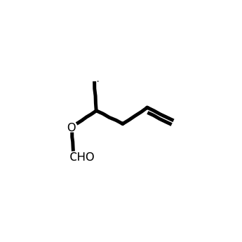 [CH2]C(CC=C)OC=O